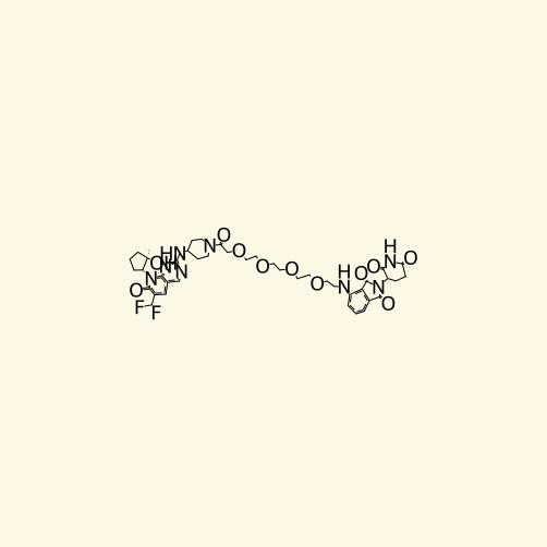 C[C@@]1(O)CCC[C@H]1n1c(=O)c(C(F)F)cc2cnc(NC3CCN(C(=O)COCCOCCOCCOCCNc4cccc5c4C(=O)N(C4CCC(=O)NC4=O)C5=O)CC3)nc21